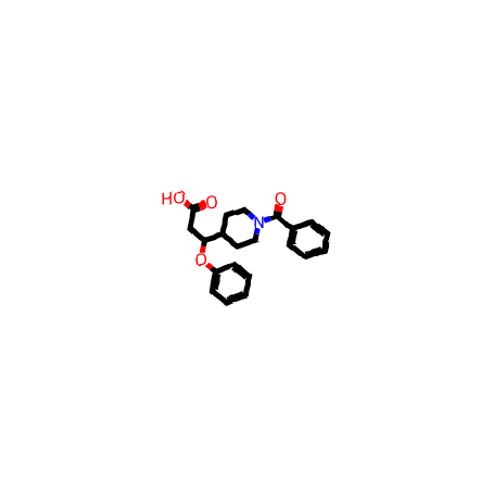 O=C(O)CC(Oc1ccccc1)C1CCN(C(=O)c2ccccc2)CC1